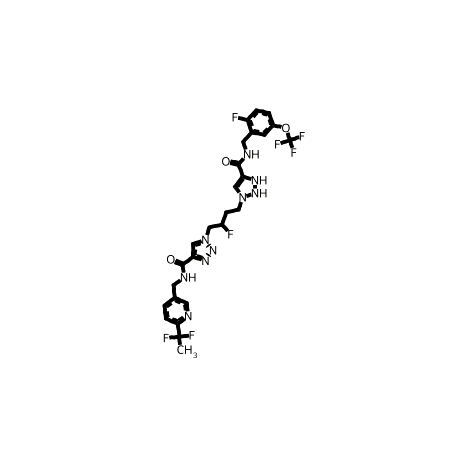 CC(F)(F)c1ccc(CNC(=O)c2cn(CC(F)CCN3C=C(C(=O)NCc4cc(OC(F)(F)F)ccc4F)NN3)nn2)cn1